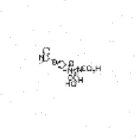 Cc1cc(COc2ccc(C(=O)N[C@H]3CN(C(=O)O)C[C@H]3C(=O)NO)cc2)c2ccccc2n1